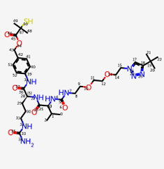 CC(C)[C@H](NC(=O)NCCOCCOCCn1cc(C(C)(C)C)nn1)C(=O)N[C@@H](CCCNC(N)=O)C(=O)Nc1ccc(COC(=O)C(C)(C)S)cc1